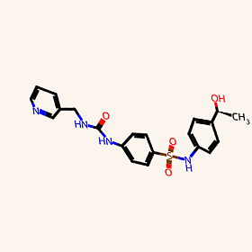 C[C@H](O)c1ccc(NS(=O)(=O)c2ccc(NC(=O)NCc3cccnc3)cc2)cc1